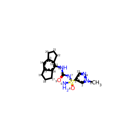 Cn1cc(S(N)(=O)=NC(=O)Nc2c3c(cc4c2CCC4)CCC3)cn1